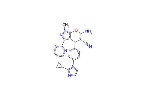 Cn1nc(-c2ncccn2)c2c1OC(N)=C(C#N)C2c1ccc(-n2ccnc2C2CC2)cc1